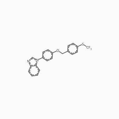 FC(F)(F)Sc1ccc(COc2ccc(-n3cnc4ccccc43)cc2)cc1